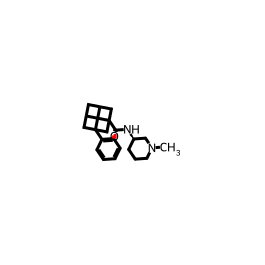 CN1CCC[C@@H](NC(=O)C23CC4CC5CC(c6ccccc6)(C2)C453)C1